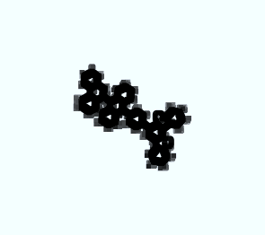 c1ccc2c(c1)cc(-c1c3ccccc3c(-c3ccc(-c4cc5c6ccccc6oc5c5c4oc4ccccc45)cc3)c3ccccc13)c1ccccc12